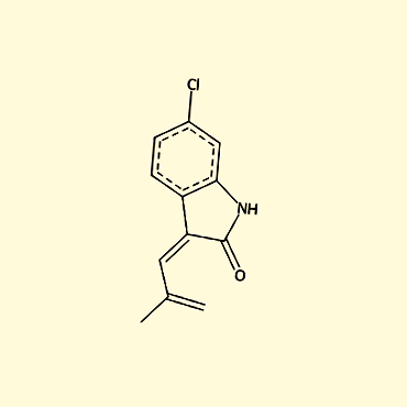 C=C(C)C=C1C(=O)Nc2cc(Cl)ccc21